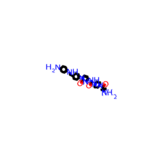 CC(C)(N)C(=O)N1CCN(C(=O)Nc2ccn(C3=CCC(CN[C@H]4CC[C@H](N)CC4)CC3)c(=O)n2)CC1